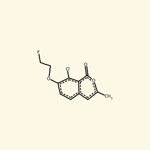 Cc1cc2ccc(OCCF)c(Cl)c2c(=O)o1